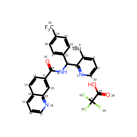 CC(C)(C)c1cccnc1C(NC(=O)c1ccc2cccnc2c1)c1ccc(C(F)(F)F)cc1.O=C(O)C(F)(F)F